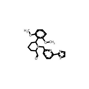 COc1cccc(OC)c1C1CCCC(C=O)N1Cc1cccc(-c2nccs2)n1